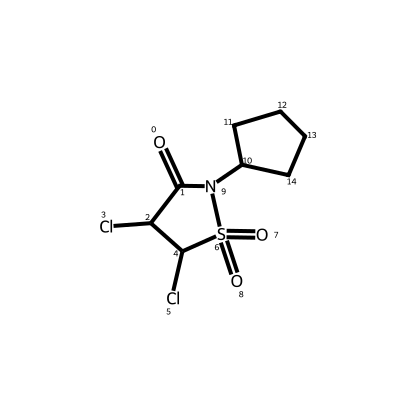 O=C1C(Cl)C(Cl)S(=O)(=O)N1C1CCCC1